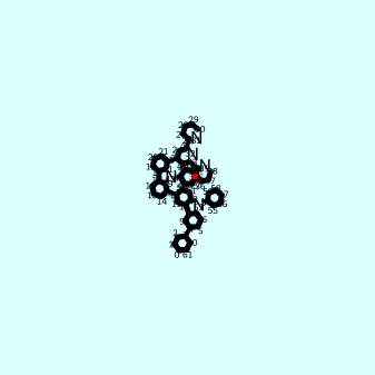 c1ccc(-c2ccc3c(c2)c2cc(-c4cccc5c6cccc(-c7cc(-c8ccccn8)nc(-c8ccccn8)c7)c6n(-c6ccccc6)c45)ccc2n3-c2ccccc2)cc1